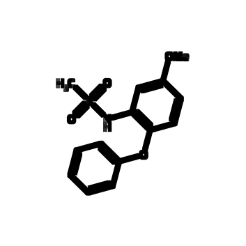 COc1ccc(Oc2ccccc2)c(NS(C)(=O)=O)c1